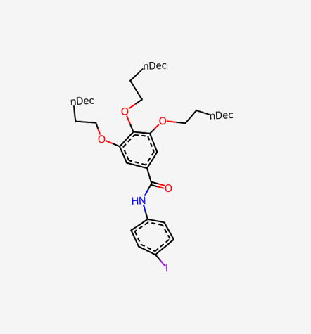 CCCCCCCCCCCCOc1cc(C(=O)Nc2ccc(I)cc2)cc(OCCCCCCCCCCCC)c1OCCCCCCCCCCCC